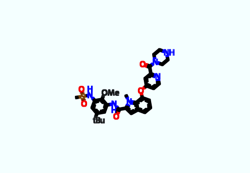 COc1c(NC(=O)c2cc3cccc(Oc4ccnc(C(=O)N5CCNCC5)c4)c3n2C)cc(C(C)(C)C)cc1NS(C)(=O)=O